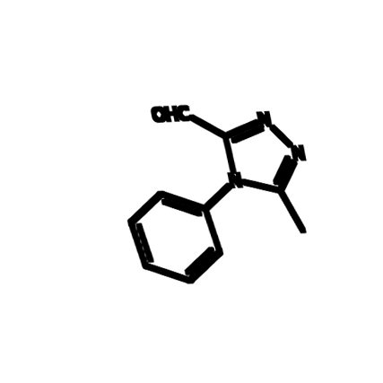 Cc1nnc(C=O)n1-c1ccccc1